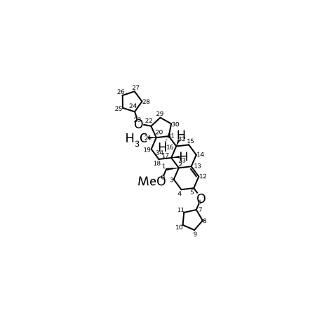 COC[C@]12CCC(OC3CCCC3)C=C1CC[C@@H]1[C@H]2CC[C@]2(C)C(OC3CCCC3)CC[C@@H]12